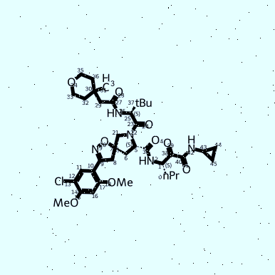 CCC[C@H](NC(=O)[C@@H]1C[C@]2(CC(c3cc(Cl)c(OC)cc3OC)=NO2)CN1C(=O)[C@@H](NC(=O)CC1(C)CCOCC1)C(C)(C)C)C(=O)C(=O)NC1CC1